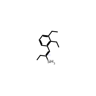 CC/C([SiH3])=C\c1cccc(CC)c1CC